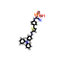 N#C/C(=C\c1ccc(-c2ccc(/C=C/c3ccc(N(c4ccccc4)c4ccccc4)cc3)s2)cc1)O[PH](=O)O